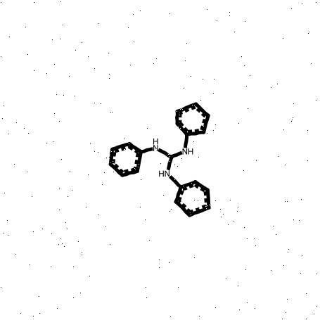 c1ccc(NC(Nc2ccccc2)Nc2ccccc2)cc1